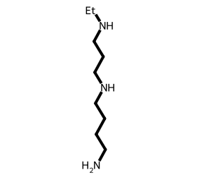 CCNCCCNCCCCN